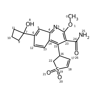 COc1nc2cc(C3(O)CCC3)ccc2c(C2C=CS(=O)(=O)C2)c1C(N)=O